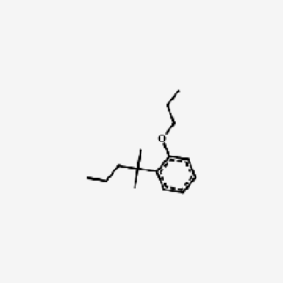 CCCOc1ccccc1C(C)(C)CCC